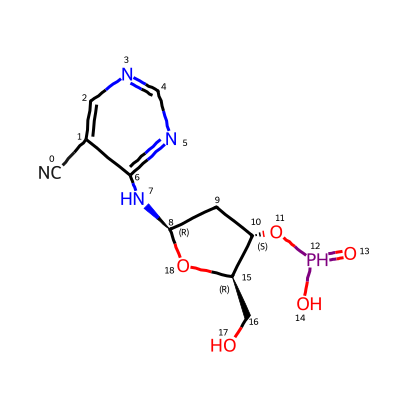 N#Cc1cncnc1N[C@H]1C[C@H](O[PH](=O)O)[C@@H](CO)O1